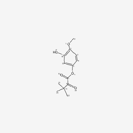 COc1ccc(OC(=O)C(=O)C(C)(C)C)cc1O